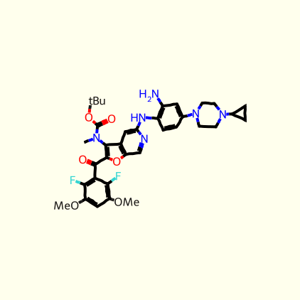 COc1cc(OC)c(F)c(C(=O)c2oc3cnc(Nc4ccc(N5CCN(C6CC6)CC5)cc4N)cc3c2N(C)C(=O)OC(C)(C)C)c1F